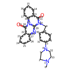 CN1CCN(c2ccc(Cn3c(=O)c4ccccc4n4c(=O)c5ccccc5nc34)cc2)CC1